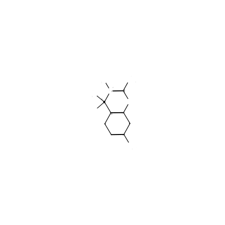 CC1CCC2C(C1)OC(C)N(C)C2(C)C